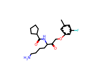 Cc1cc(F)cc(OCC(=O)C(CCCCN)NC(=O)C2CCCC2)c1